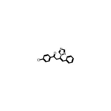 O=C(CC(=Cc1ccccc1)n1cncn1)c1ccc(Cl)cc1